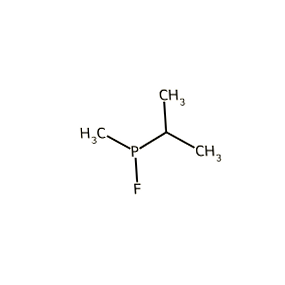 CC(C)P(C)F